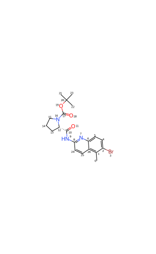 Cc1c(Br)ccc2nc(NC(=O)[C@@H]3CCCN3C(=O)OC(C)(C)C)ccc12